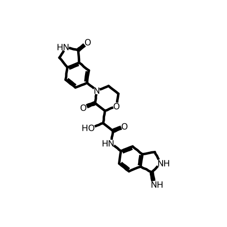 N=C1NCc2cc(NC(=O)C(O)C3OCCN(c4ccc5c(c4)C(=O)NC5)C3=O)ccc21